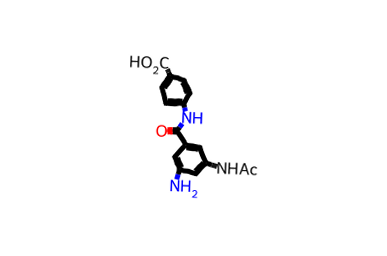 CC(=O)Nc1cc(N)cc(C(=O)Nc2ccc(C(=O)O)cc2)c1